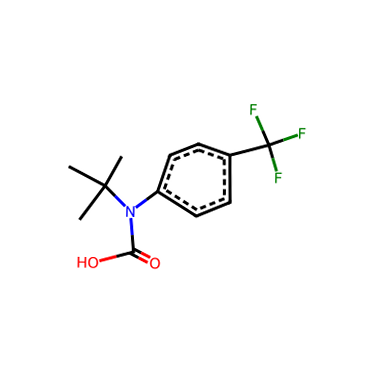 CC(C)(C)N(C(=O)O)c1ccc(C(F)(F)F)cc1